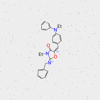 CCN1C(=O)/C(=C\c2ccc(N(CC)c3ccccc3)cc2)O/C1=N/Cc1ccccc1